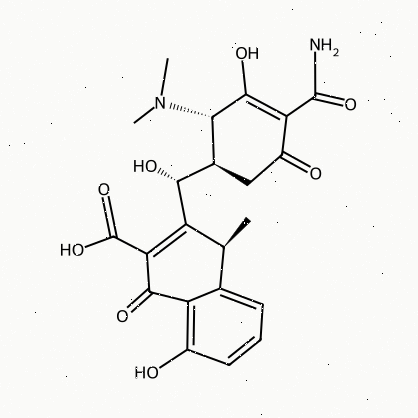 C[C@@H]1C([C@H](O)[C@@H]2CC(=O)C(C(N)=O)=C(O)[C@H]2N(C)C)=C(C(=O)O)C(=O)c2c(O)cccc21